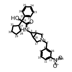 O=C(NC1C2CN(Cc3cccc([N+](=O)[O-])c3)CC21)C(O)(c1ccccc1)C1CCCC1